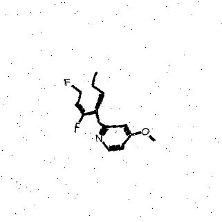 CC/C=C(\C(F)=C/CF)c1cc(OC)ccn1